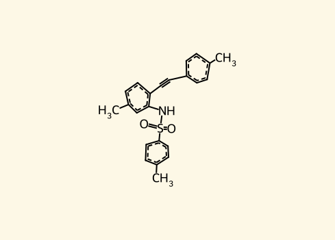 Cc1ccc(C#Cc2ccc(C)cc2NS(=O)(=O)c2ccc(C)cc2)cc1